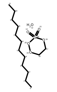 CCCCCCCCCCCC.O.O=S1(=O)OCCOO1